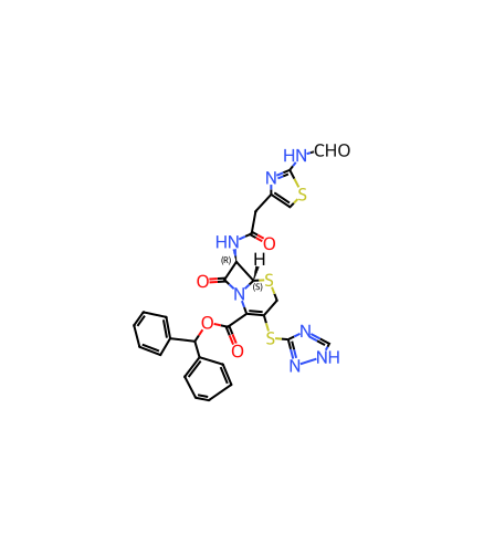 O=CNc1nc(CC(=O)N[C@@H]2C(=O)N3C(C(=O)OC(c4ccccc4)c4ccccc4)=C(Sc4nc[nH]n4)CS[C@@H]23)cs1